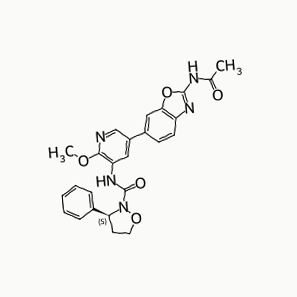 COc1ncc(-c2ccc3nc(NC(C)=O)oc3c2)cc1NC(=O)N1OCC[C@H]1c1ccccc1